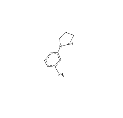 Nc1cccc(N2CCCN2)c1